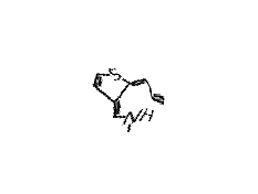 C=C/C=c1/scc/c1=C/NC